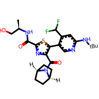 C[C@H](CO)NC(=O)c1nc(C(=O)N2[C@H]3CC[C@@H]2CC3)c(-c2cnc(NC(C)(C)C)cc2C(F)F)s1